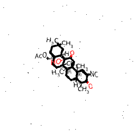 [C-]#[N+]C1=C[C@]2(C)C3=CC(=O)[C@]4(O)[C@@H]5CC(C)(C)CC[C@]5(COC(C)=O)CC[C@@]4(C)[C@]3(C)CC[C@H]2[C@H](C)C1=O